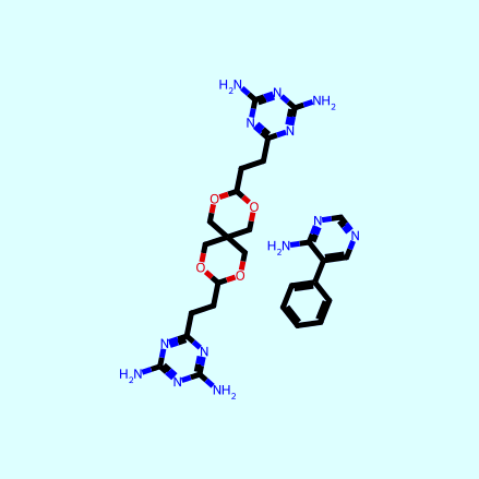 Nc1nc(N)nc(CCC2OCC3(CO2)COC(CCc2nc(N)nc(N)n2)OC3)n1.Nc1ncncc1-c1ccccc1